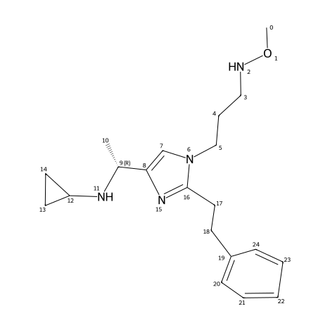 CONCCCn1cc([C@@H](C)NC2CC2)nc1CCc1ccccc1